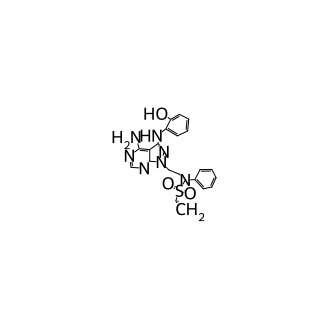 C=CS(=O)(=O)N(CCn1nc(Nc2ccccc2O)c2c(N)ncnc21)c1ccccc1